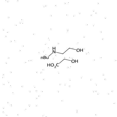 CCCCNCCO.O=C(O)CO